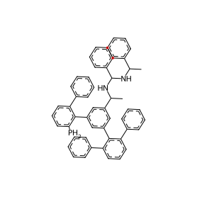 CC(NC(NC(C)c1cc(-c2c(P)cccc2-c2ccccc2)cc(-c2c(-c3ccccc3)cccc2-c2ccccc2)c1)c1ccccc1)c1ccccc1